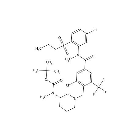 CCCS(=O)(=O)c1ccc(Cl)cc1N(C)C(=O)c1cc(Cl)c(CN2CCC[C@H](N(C)C(=O)OC(C)(C)C)C2)c(C(F)(F)F)c1